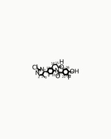 Cc1cnc(Cl)nc1-c1ccc2c(c1)CCCN2C(=O)c1cc(F)c(O)cc1O